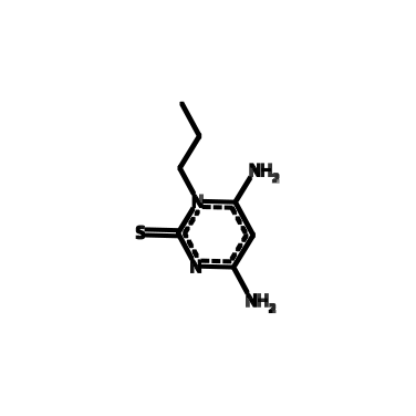 CCCn1c(N)cc(N)nc1=S